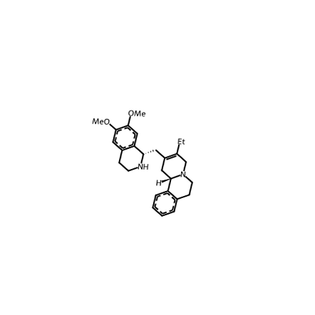 CCC1=C(C[C@@H]2NCCc3cc(OC)c(OC)cc32)C[C@H]2c3ccccc3CCN2C1